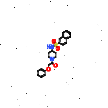 O=C(COc1ccccc1)N1CCC(NS(=O)(=O)c2ccc3ccccc3c2)CC1